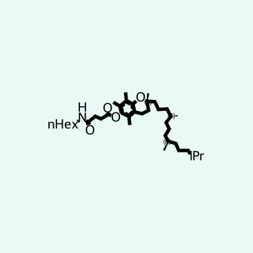 CCCCCCNC(=O)CCC(=O)Oc1c(C)c(C)c2c(c1C)CC[C@@](C)(CCC[C@H](C)CCC[C@H](C)CCCC(C)C)O2